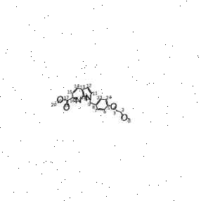 COCCOc1ccc(Cn2ccc3ccc(C(=O)OC)nc32)cc1